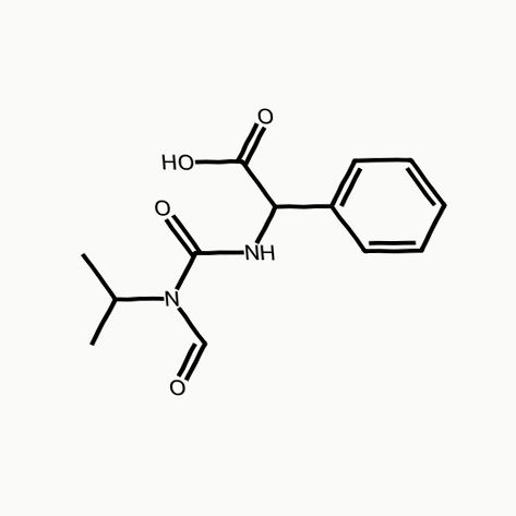 CC(C)N(C=O)C(=O)NC(C(=O)O)c1ccccc1